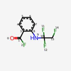 O=C(F)c1ccccc1NC(F)(F)CF